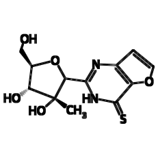 C[C@]1(O)C(c2nc3ccoc3c(=S)[nH]2)O[C@H](CO)[C@H]1O